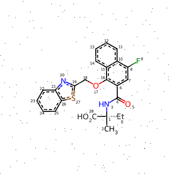 CC[C@@](C)(NC(=O)c1cc(F)c2ccccc2c1OCc1nc2ccccc2s1)C(=O)O